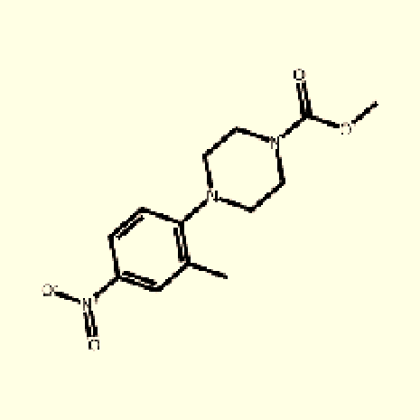 COC(=O)N1CCN(c2ccc([N+](=O)[O-])cc2C)CC1